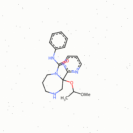 COC(C)OC1(c2ncccn2)CNCCCN1C(=O)Nc1ccccc1